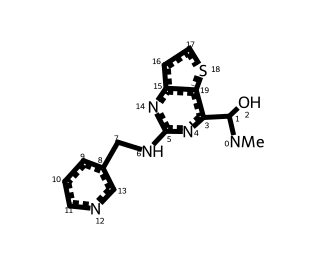 CNC(O)c1nc(NCc2cccnc2)nc2ccsc12